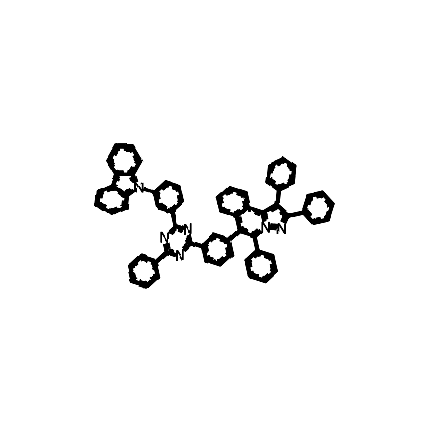 c1ccc(-c2nc(-c3cccc(-c4c(-c5ccccc5)n5nc(-c6ccccc6)c(-c6ccccc6)c5c5ccccc45)c3)nc(-c3cccc(-n4c5ccccc5c5ccccc54)c3)n2)cc1